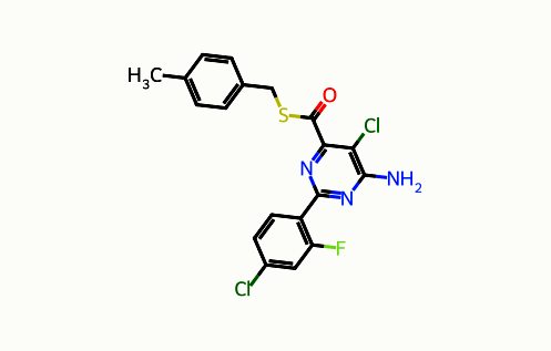 Cc1ccc(CSC(=O)c2nc(-c3ccc(Cl)cc3F)nc(N)c2Cl)cc1